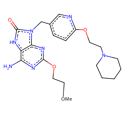 COCCOc1nc(N)c2[nH]c(=O)n(Cc3ccc(OCCN4CCCCC4)nc3)c2n1